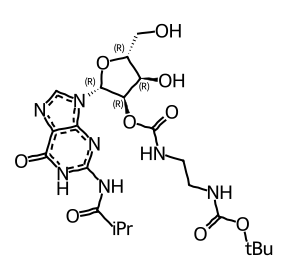 CC(C)C(=O)Nc1nc2c(ncn2[C@@H]2O[C@H](CO)[C@@H](O)[C@H]2OC(=O)NCCNC(=O)OC(C)(C)C)c(=O)[nH]1